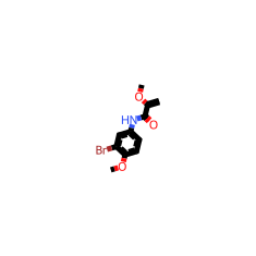 C=C(OC)C(=O)Nc1ccc(OC)c(Br)c1